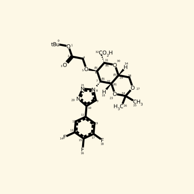 CC(C)(C)OC(=O)CO[C@@H]1[C@@H](n2cc(-c3cc(F)c(F)c(F)c3)nn2)[C@H]2OC(C)(C)OC[C@H]2O[C@H]1C(=O)O